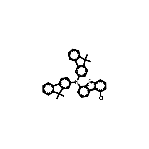 CC1(C)c2ccccc2-c2cc(N(c3ccc4c(c3)C(C)(C)c3ccccc3-4)c3cccc4c3sc3cccc(Cl)c34)ccc21